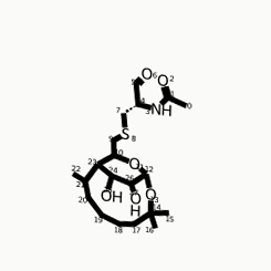 CC(=O)N[C@@H](C=O)CSCC1OC2OC(C)(C)CCCCC(C)C1C(O)C2O